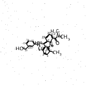 Cc1cccc2c(NN(C(=O)O)c3cccc(CO)c3)c3cccc(C(=O)N(C)C)c3nc12